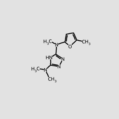 Cc1ccc(N(C)c2nnc(N(C)C)[nH]2)o1